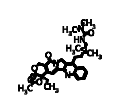 CC[C@@]1(OC(C)=O)C(=O)OCc2c1cc1n(c2=O)Cc2c-1nc1ccccc1c2CC[Si](C)(C)CNC(=O)N(C)C